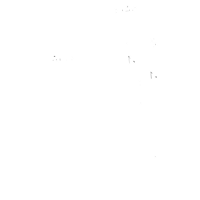 CC(=O)Oc1ccc(OC(C)=O)c(-c2csc3nc(C45CC6CCCC(C4)C(C6)C5)cn23)c1